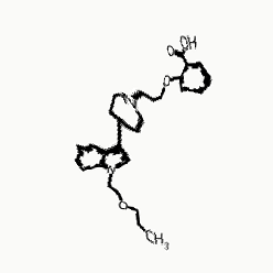 CCCOCCn1cc(C2CCN(CCOc3ccccc3C(=O)O)CC2)c2ccccc21